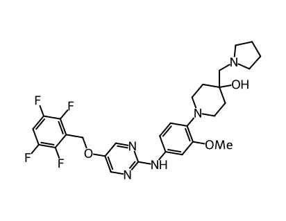 COc1cc(Nc2ncc(OCc3c(F)c(F)cc(F)c3F)cn2)ccc1N1CCC(O)(CN2CCCC2)CC1